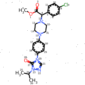 COC(=O)C(c1ccc(Cl)cc1)N1CCN(c2ccc(-n3cnn(C(C)C)c3=O)cc2)CC1